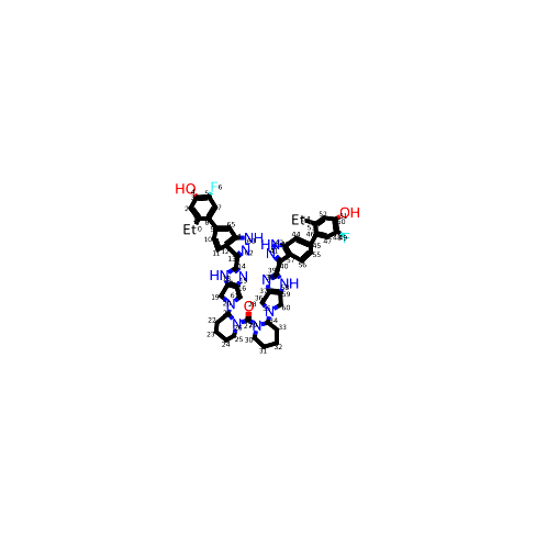 CCc1cc(O)c(F)cc1-c1ccc2c(-c3nc4c([nH]3)CN(C3CCCCN3C(=O)N3CCCCC3N3Cc5nc(-c6n[nH]c7cc(-c8cc(F)c(O)cc8CC)ccc67)[nH]c5C3)C4)n[nH]c2c1